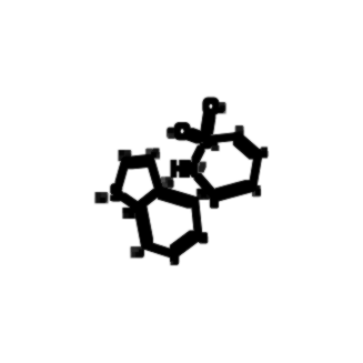 O=S1(=O)C=CC=CN1.c1ccc2sccc2c1